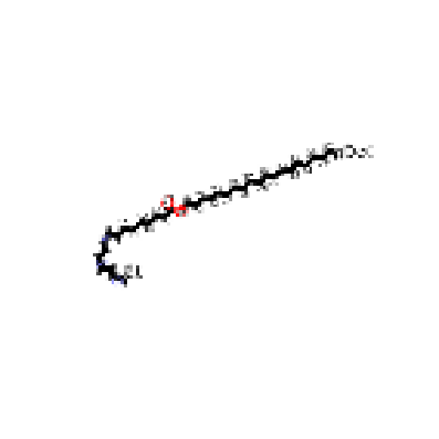 CC/C=C\C/C=C\C/C=C\CCCCCCCC(=O)OCCCCCCCCCCCCCCCCCCCCCCCCCCCCC